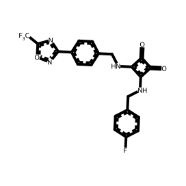 O=c1c(NCc2ccc(F)cc2)c(NCc2ccc(-c3noc(C(F)(F)F)n3)cc2)c1=O